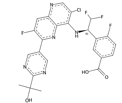 CC(C)(O)c1ncc(-c2nc3c(N[C@H](c4cc(C(=O)O)ccc4F)C(F)F)c(Cl)cnc3cc2F)cn1